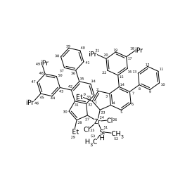 CCC1=Cc2c(ccc(-c3ccccc3)c2-c2cc(C(C)C)cc(C(C)C)c2)[CH]1[Zr]([Cl])([Cl])([CH]1C(CC)=Cc2c1ccc(-c1ccccc1)c2-c1cc(C(C)C)cc(C(C)C)c1)[SiH](C)C